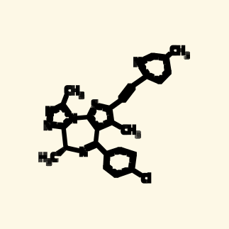 Cc1ccc(C#Cc2sc3c(c2C)C(c2ccc(Cl)cc2)=N[C@@H](C)c2nnc(C)n2-3)nc1